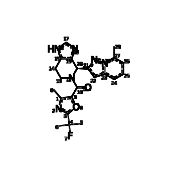 Cc1nc(C(C)(C)F)oc1C(=O)N1CCc2[nH]cnc2[C@H]1c1cc2cccc(C)n2n1